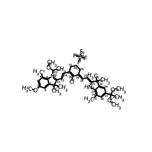 COc1cc(C)c2c(c1)C(C)(C)C(C=CC1=C(Cl)C(=CC=C3Nc4c(C)cc(C(C)(OC)OC)cc4C3(C)C)CCC1)=[N+]2C(C)OC.F[B-](F)(F)F